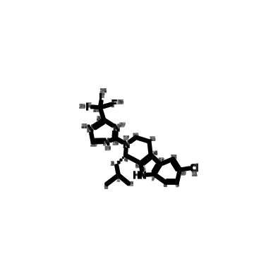 CC(C)C[C@H]1c2[nH]c3ccc(Cl)cc3c2CCN1c1ncnc(C(F)(F)F)n1